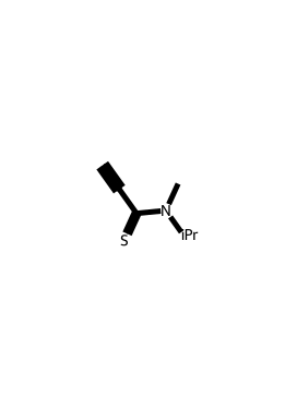 C#CC(=S)N(C)C(C)C